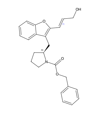 O=C(OCc1ccccc1)N1CCC[C@H]1Cc1c(/C=C/CO)oc2ccccc12